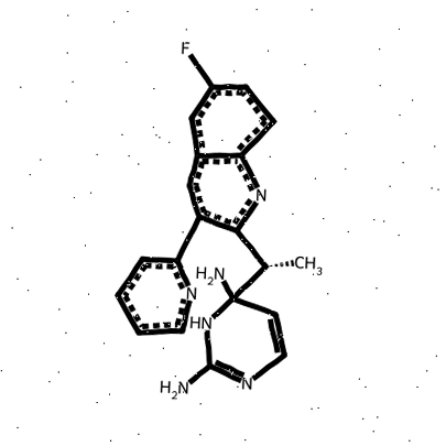 C[C@@H](c1nc2ccc(F)cc2cc1-c1ccccn1)C1(N)C=CN=C(N)N1